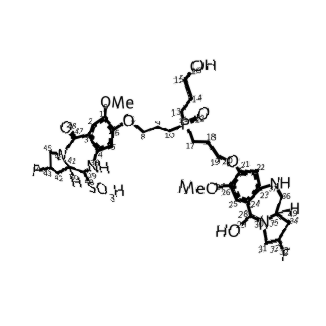 COc1cc2c(cc1OCCCP(=O)(CCCO)CCCOc1cc3c(cc1OC)C(O)N1CC(F)C[C@H]1CN3)NC(S(=O)(=O)O)[C@@H]1CC(F)CN1C2=O